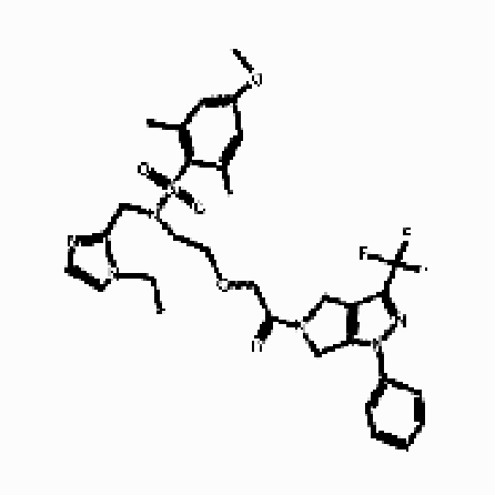 CCn1ccnc1CN(CCOCC(=O)N1Cc2c(C(F)(F)F)nn(-c3ccccc3)c2C1)S(=O)(=O)c1c(C)cc(OC)cc1C